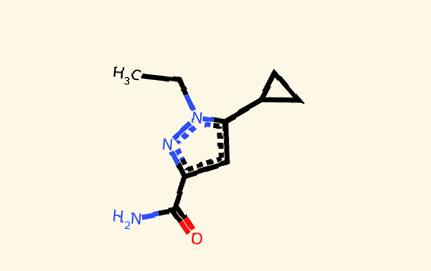 CCn1nc(C(N)=O)cc1C1CC1